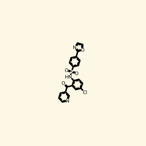 O=C(c1cccnc1)c1cc(Cl)ccc1NS(=O)(=O)c1ccc(-c2ncco2)cc1